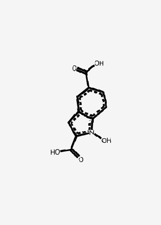 O=C(O)c1ccc2c(c1)cc(C(=O)O)n2O